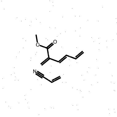 C=CC#N.C=CC=CC(=C)C(=O)OC